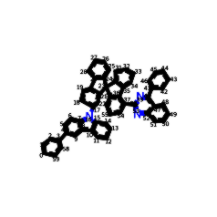 c1ccc(-c2ccc3c(c2)c2ccccc2n3-c2ccc3c(c2)C2(c4ccccc4-3)c3ccccc3-c3c(-c4nc(-c5ccccc5)c5ccccc5n4)cccc32)cc1